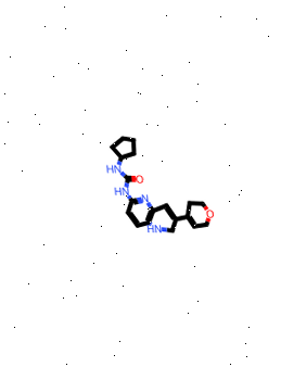 O=C(Nc1ccc2c(n1)C=C(C1=CCOCC1)CN2)NC1CCCC1